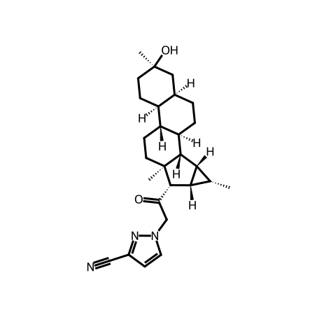 C[C@H]1[C@@H]2[C@H]1[C@H](C(=O)Cn1ccc(C#N)n1)[C@@]1(C)CC[C@H]3[C@@H](CC[C@@H]4C[C@](C)(O)CC[C@@H]43)[C@H]21